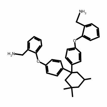 CC1CC(C)(C)CC(c2ccc(Oc3ccccc3CN)cc2)(c2ccc(Oc3ccccc3CN)cc2)C1